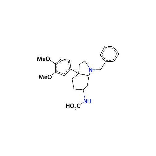 COc1ccc(C23CCC(NC(=O)O)CC2N(Cc2ccccc2)CC3)cc1OC